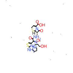 CO/N=C(\C(N)=O)c1csc(N)[n+]1[N+]1(CCCO)CCCC1.C[C@@H]1C(=O)N2C(C(=O)O)=CCS[C@@H]12